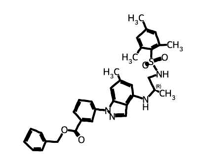 Cc1cc(C)c(S(=O)(=O)NC[C@@H](C)Nc2cc(C)cc3c2cnn3-c2cccc(C(=O)OCc3ccccc3)c2)c(C)c1